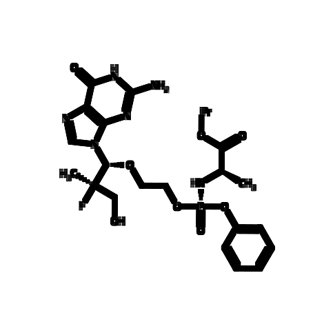 CC(C)OC(=O)[C@@H](C)N[P@](=O)(OCCO[C@@H](n1cnc2c(=O)[nH]c(N)nc21)[C@](C)(F)CO)Oc1ccccc1